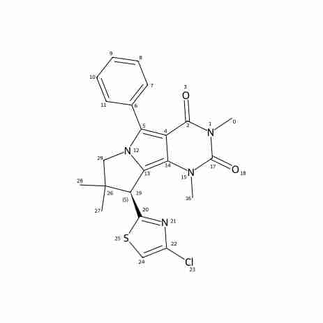 Cn1c(=O)c2c(-c3ccccc3)n3c(c2n(C)c1=O)[C@@H](c1nc(Cl)cs1)C(C)(C)C3